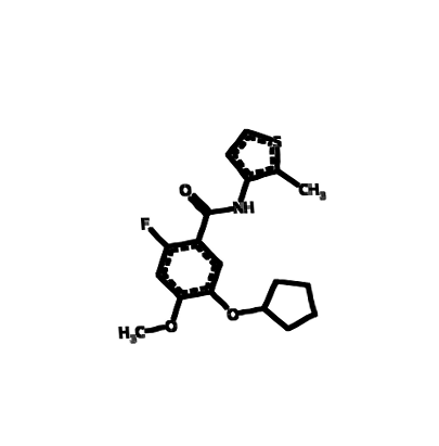 COc1cc(F)c(C(=O)Nc2ccsc2C)cc1OC1CCCC1